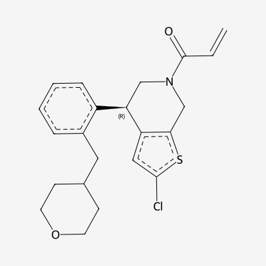 C=CC(=O)N1Cc2sc(Cl)cc2[C@@H](c2ccccc2CC2CCOCC2)C1